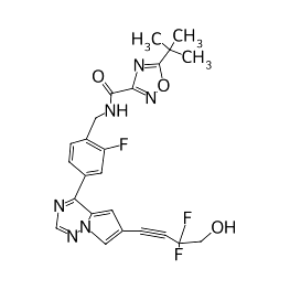 CC(C)(C)c1nc(C(=O)NCc2ccc(-c3ncnn4cc(C#CC(F)(F)CO)cc34)cc2F)no1